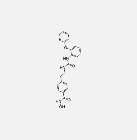 O=C(NCCc1ccc(C(=O)NO)cc1)Nc1ccccc1Oc1ccccc1